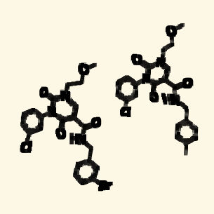 COCCn1cc(C(=O)NCc2ccc(C)cc2)c(=O)n(-c2cccc(Cl)c2)c1=O.COCCn1cc(C(=O)NCc2cccc(Br)c2)c(=O)n(-c2cccc(Cl)c2)c1=O